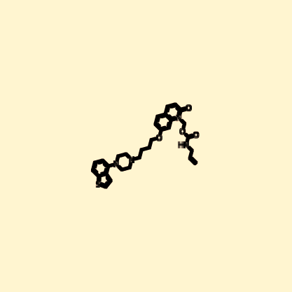 C=CCNC(=O)OCn1c(=O)ccc2ccc(OCCCCN3CCN(c4cccc5sccc45)CC3)cc21